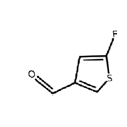 O=[C]c1csc(F)c1